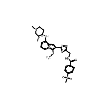 CN1CC[C@@H](Nc2cccn3c(SC(F)(F)F)c(-c4noc(CNC(=O)c5ccc(S(C)(=O)=O)cc5)n4)cc23)[C@@H](F)C1